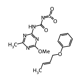 CC=CCOc1ccccc1.COc1nc(C)nc(NC(=O)N=S(=O)=O)n1